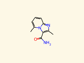 Cc1nc2cccc(C)n2c1C(N)=O